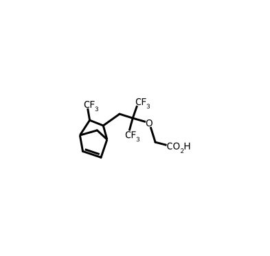 O=C(O)COC(CC1C2C=CC(C2)C1C(F)(F)F)(C(F)(F)F)C(F)(F)F